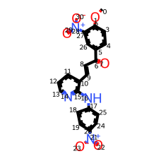 COc1ccc(C(=O)/C=C/c2cccnc2Nc2ccc([N+](=O)[O-])cc2)cc1[N+](=O)[O-]